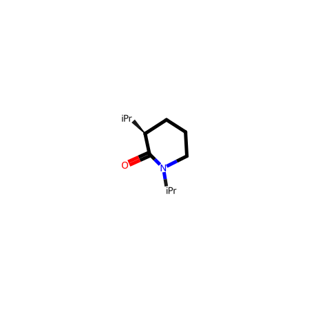 CC(C)[C@H]1CCCN(C(C)C)C1=O